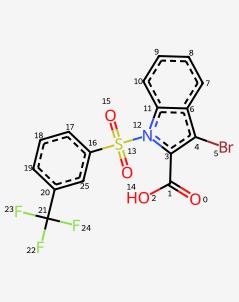 O=C(O)c1c(Br)c2ccccc2n1S(=O)(=O)c1cccc(C(F)(F)F)c1